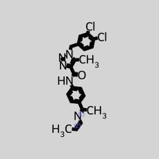 C/C=C\N=C(/C)c1ccc(NC(=O)c2nnn(Cc3ccc(Cl)c(Cl)c3)c2C)cc1